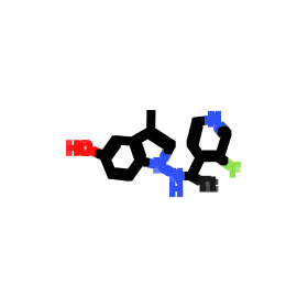 CCC(Nn1cc(C)c2cc(O)ccc21)c1ccncc1F